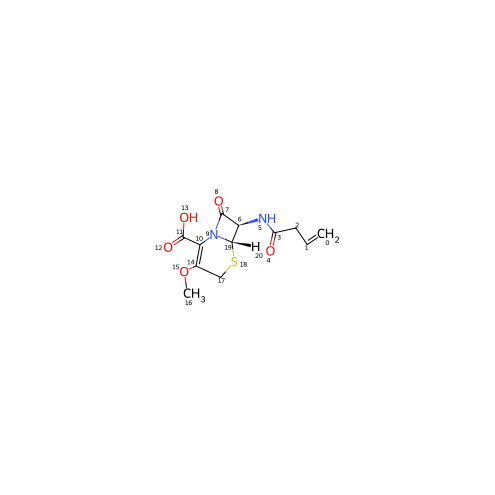 C=CCC(=O)N[C@@H]1C(=O)N2C(C(=O)O)=C(OC)CS[C@@H]12